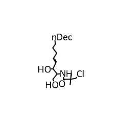 CCCCCCCCCCCCCC=CC(O)C(CO)NC(=O)C(C)(C)CCl